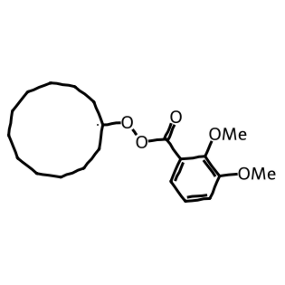 COc1cccc(C(=O)OO[C]2CCCCCCCCCCC2)c1OC